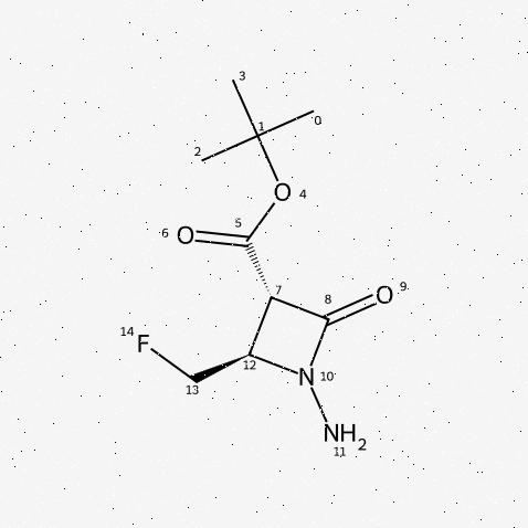 CC(C)(C)OC(=O)[C@@H]1C(=O)N(N)[C@H]1CF